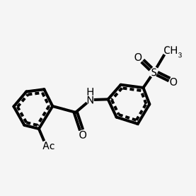 CC(=O)c1ccccc1C(=O)Nc1cccc(S(C)(=O)=O)c1